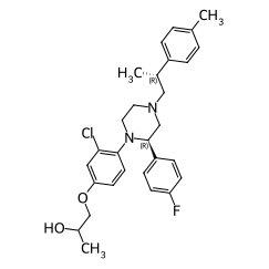 Cc1ccc([C@@H](C)CN2CCN(c3ccc(OCC(C)O)cc3Cl)[C@H](c3ccc(F)cc3)C2)cc1